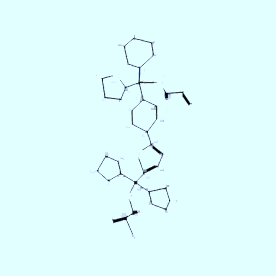 C=CC(=O)OC(C1CCCCC1)(C1CCC(c2ccc(C(OC(=O)C(=C)C)(C3CCCC3)C3CCCC3)o2)CC1)C1CCCO1